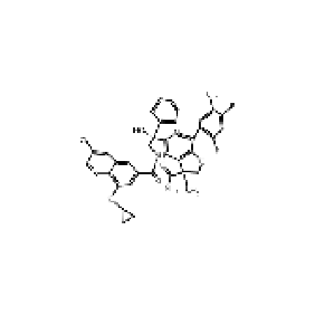 C[C@]1(C(N)=O)COc2c1cc([C@@](O)(CNC(=O)c1cc(OC3CC3)c3ncc(Cl)cc3c1)c1ccccc1)nc2-c1cc(C(F)(F)F)c(F)cc1F